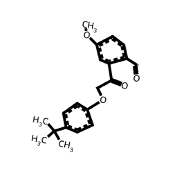 COc1ccc([C]=O)c(C(=O)COc2ccc(C(C)(C)C)cc2)c1